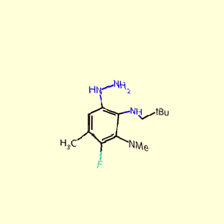 CNc1c(F)c(C)cc(NN)c1NCC(C)(C)C